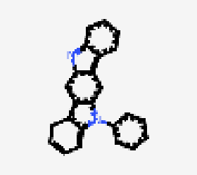 C1=CCc2c(n(-c3ccccc3)c3cc4c(cc23)N=c2ccccc2=4)=C1